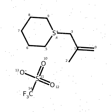 C=C(C)C[S+]1CCCCC1.O=S(=O)([O-])C(F)(F)F